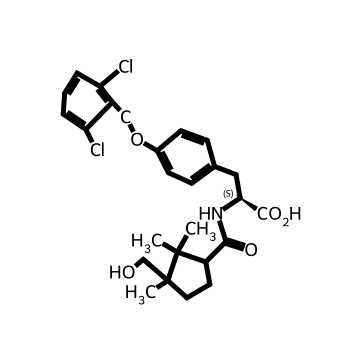 CC1(CO)CCC(C(=O)N[C@@H](Cc2ccc(OCc3c(Cl)cccc3Cl)cc2)C(=O)O)C1(C)C